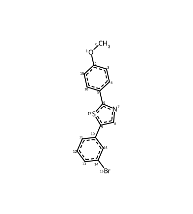 COc1ccc(-c2ncc(-c3cccc(Br)c3)s2)cc1